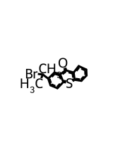 CC(C)(Br)c1ccc2sc3ccccc3c(=O)c2c1